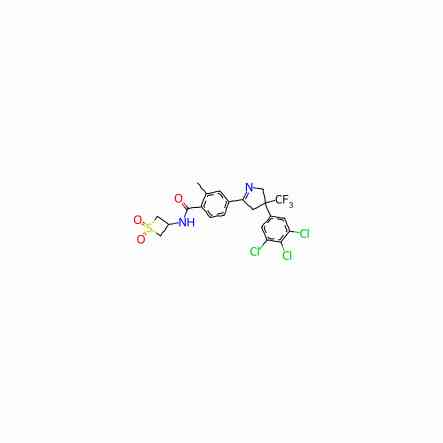 Cc1cc(C2=NCC(c3cc(Cl)c(Cl)c(Cl)c3)(C(F)(F)F)C2)ccc1C(=O)NC1CS(=O)(=O)C1